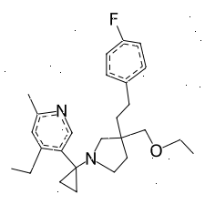 CCOCC1(CCc2ccc(F)cc2)CCN(C2(c3cnc(C)cc3CC)CC2)C1